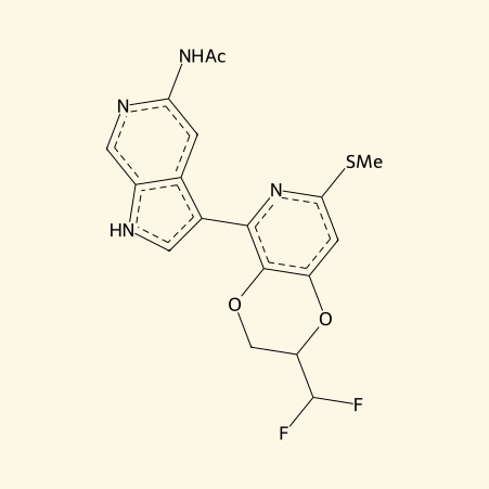 CSc1cc2c(c(-c3c[nH]c4cnc(NC(C)=O)cc34)n1)OCC(C(F)F)O2